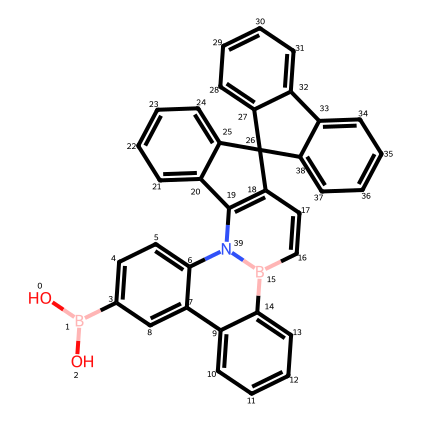 OB(O)c1ccc2c(c1)-c1ccccc1B1C=CC3=C(c4ccccc4C34c3ccccc3-c3ccccc34)N12